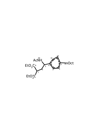 CCCCCCCCc1ccc(C(CC(C(=O)OCC)C(=O)OCC)NC(C)=O)cc1